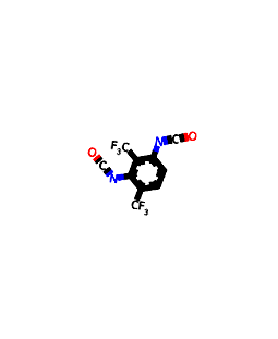 O=C=Nc1ccc(C(F)(F)F)c(N=C=O)c1C(F)(F)F